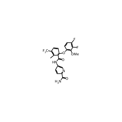 COc1c(Oc2ccc(C(F)(F)F)c(C)c2C(=O)Nc2ccc(C(N)=O)nc2)ccc(F)c1F